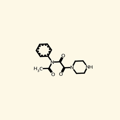 CC(=O)N(C(=O)C(=O)N1CCNCC1)c1ccccc1